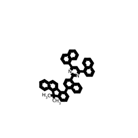 CC1(C)c2cccc(-c3ccc(-c4nc(-c5cccc6ccccc56)cc(-c5cccc6ccccc56)n4)c4ccccc34)c2-c2ccc3ccccc3c21